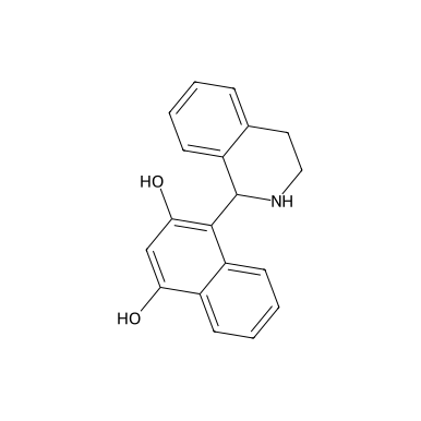 Oc1cc(O)c2ccccc2c1C1NCCc2ccccc21